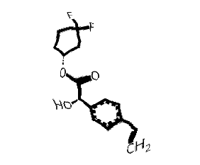 C=Cc1ccc([C@@H](O)C(=O)O[C@@H]2CCC(F)(F)C2)cc1